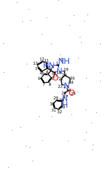 N=C1NC(c2ccccc2)(c2ccccc2)C(=O)N1CC1CCN(C(=O)CNc2ccccc2)CC1